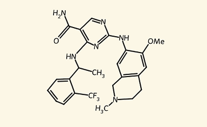 COc1cc2c(cc1Nc1ncc(C(N)=O)c(NC(C)c3ccccc3C(F)(F)F)n1)CN(C)CC2